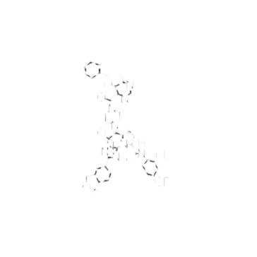 Cc1ncnc(C(=O)N2CCN(c3c4n(c5nc(-c6ccc7c(c6)COC7(C)C)nn5c3=O)[C@H](C(=O)Nc3ccc(C(F)(F)F)cc3Cl)C[C@H]4C)CC2)c1OCc1ccccc1